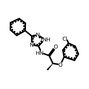 C[C@H](Oc1cccc(Cl)c1)C(=O)Nc1nc(-c2ccccc2)n[nH]1